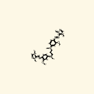 COc1cc(N(C)CCCN(C)c2ccc(N=Nc3n(C)nc[n+]3C)c(OC)c2)ccc1N=Nc1n(C)nc[n+]1C